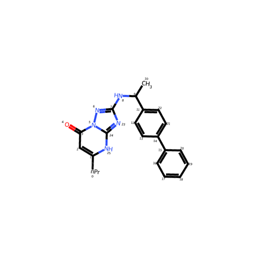 CCCc1cc(=O)n2nc(NC(C)c3ccc(-c4ccccc4)cc3)nc2[nH]1